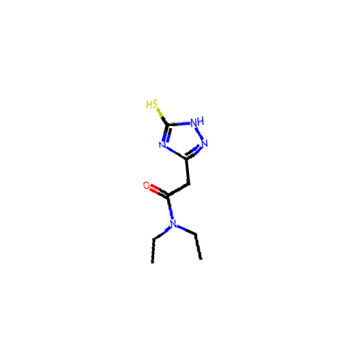 CCN(CC)C(=O)Cc1n[nH]c(S)n1